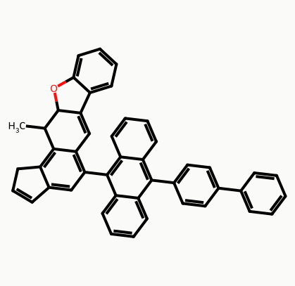 CC1c2c(c(-c3c4ccccc4c(-c4ccc(-c5ccccc5)cc4)c4ccccc34)cc3c2CC=C3)C=C2c3ccccc3OC21